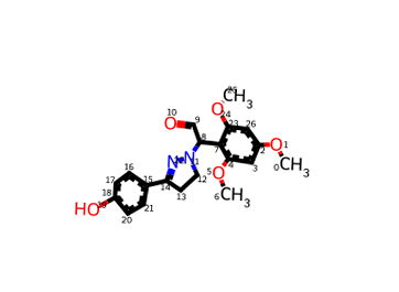 COc1cc(OC)c(C(C=O)N2CCC(c3ccc(O)cc3)=N2)c(OC)c1